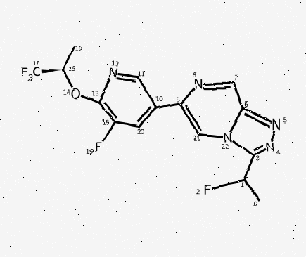 CC(F)c1nnc2cnc(-c3cnc(O[C@H](C)C(F)(F)F)c(F)c3)cn12